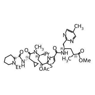 CCN1CCCC[C@@H]1C(=O)N[C@H](C(=O)N(C)[C@H](C[C@@H](OC(C)=O)c1nc(C(=O)N[C@@H](Cc2ncc(C)cn2)C[C@H](C)C(=O)OC)cs1)C(C)C)C1CC1